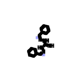 N=C(N/N=C\c1ccccc1)N/N=C\c1ccccc1